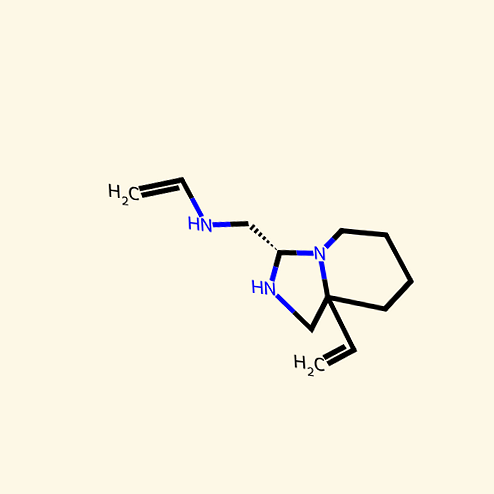 C=CNC[C@H]1NCC2(C=C)CCCCN12